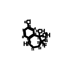 C[C@]1(O)c2cc(Cl)ccc2NCCC1(F)F